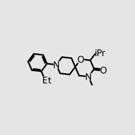 CCc1ccccc1N1CCC2(CC1)CN(C)C(=O)C(C(C)C)O2